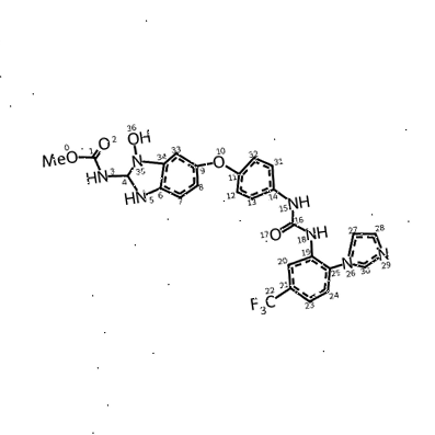 COC(=O)NC1Nc2ccc(Oc3ccc(NC(=O)Nc4cc(C(F)(F)F)ccc4-n4ccnc4)cc3)cc2N1O